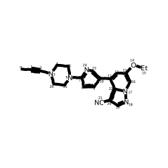 CC#CN1CCN(c2ccc(-c3cc(OCC)cn4ncc(C#N)c34)cn2)CC1